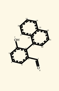 O=Cc1cccc(O)c1-c1cccc2ccccc12